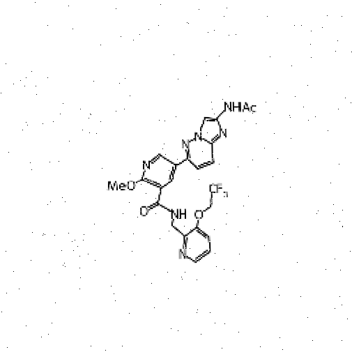 COc1ncc(-c2ccc3nc(NC(C)=O)cn3n2)cc1C(=O)NCc1ncccc1OCC(F)(F)F